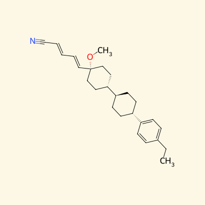 CCc1ccc([C@H]2CC[C@H]([C@H]3CC[C@@](C=CC=CC#N)(OC)CC3)CC2)cc1